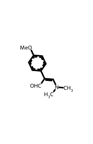 COc1ccc(/C(C=O)=C/N(C)C)cc1